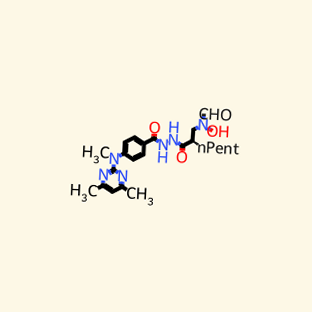 CCCCC[C@H](CN(O)C=O)C(=O)NNC(=O)c1ccc(N(C)c2nc(C)cc(C)n2)cc1